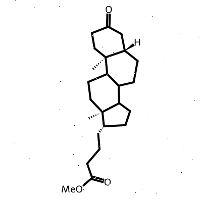 COC(=O)CCC[C@H]1CCC2C3CC[C@H]4CC(=O)CC[C@]4(C)C3CC[C@@]21C